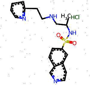 CC(CNCCc1ccccn1)NS(=O)(=O)c1ccc2cnccc2c1.Cl